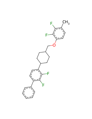 Cc1ccc(OCC2CCC(c3ccc(-c4ccccc4)c(F)c3F)CC2)c(F)c1F